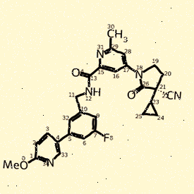 COc1ccc(-c2cc(F)cc(CNC(=O)c3cc(N4CC[C@@](C#N)(C5CC5)C4=O)cc(C)n3)c2)cn1